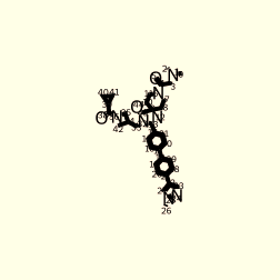 CN(C)CC(=O)N1CCC2(CC1)N=C(c1ccc(-c3ccc(-c4cnn(C)c4)cc3)cc1)N(CC1CN(C(=O)C3CC3)C1)C2=O